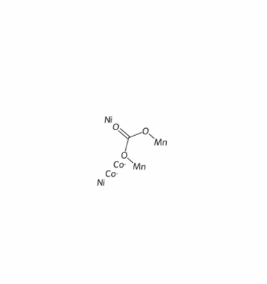 O=C([O][Mn])[O][Mn].[Co].[Co].[Ni].[Ni]